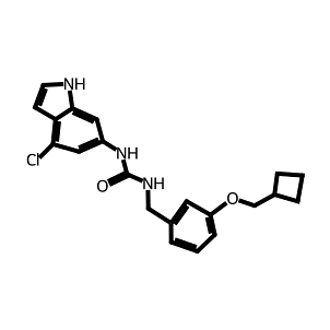 O=C(NCc1cccc(OCC2CCC2)c1)Nc1cc(Cl)c2cc[nH]c2c1